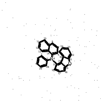 c1ccc(N(c2cccc3ccccc23)c2cccc3oc4ccccc4c23)cc1